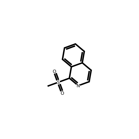 CS(=O)(=O)c1nccc2ccccc12